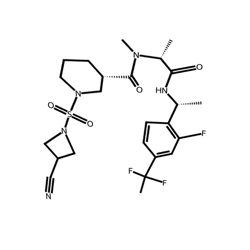 C[C@H](C(=O)N[C@H](C)c1ccc(C(C)(F)F)cc1F)N(C)C(=O)[C@H]1CCCN(S(=O)(=O)N2CC(C#N)C2)C1